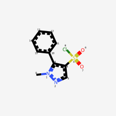 Cn1ncc(S(=O)(=O)Cl)c1-c1ccccc1